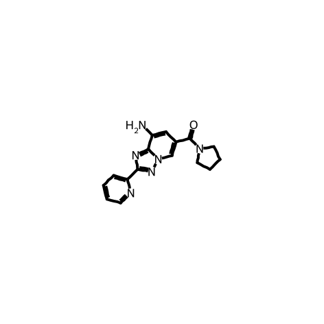 Nc1cc(C(=O)N2CCCC2)cn2nc(-c3ccccn3)nc12